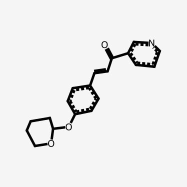 O=C(C=Cc1ccc(OC2CCCCO2)cc1)c1cccnc1